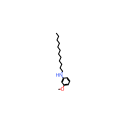 CCCCCCCCCCCCNc1cccc(OC)c1